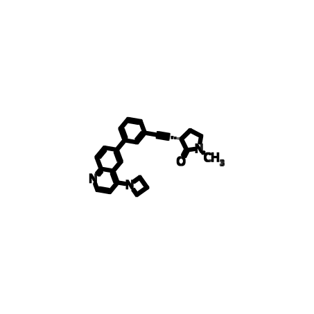 CN1CC[C@@H](C#Cc2cccc(-c3ccc4nccc(N5CCC5)c4c3)c2)C1=O